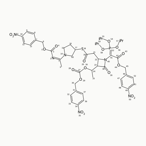 CC(=NC(=O)OCc1ccc([N+](=O)[O-])cc1)N1CCC(SC(=O)CC2C(C(C)OC(=O)OCc3ccc([N+](=O)[O-])cc3)C(=O)N2C(C(=O)OCc2ccc([N+](=O)[O-])cc2)=P(OC(C)C)(OC(C)C)OC(C)C)C1